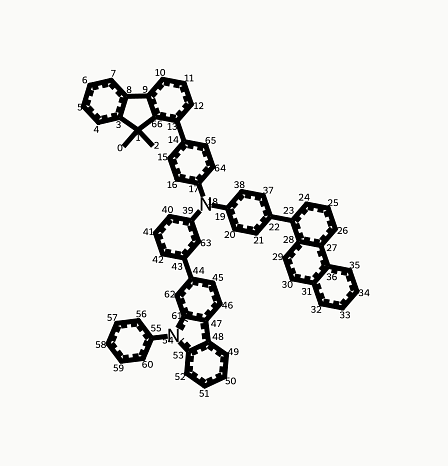 CC1(C)c2ccccc2-c2cccc(-c3ccc(N(c4ccc(-c5cccc6c5ccc5ccccc56)cc4)c4cccc(-c5ccc6c7ccccc7n(-c7ccccc7)c6c5)c4)cc3)c21